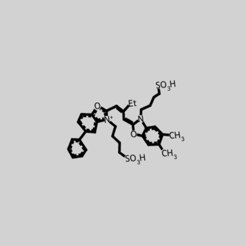 CCC(=Cc1oc2ccc(-c3ccccc3)cc2[n+]1CCCCS(=O)(=O)O)C=C1Oc2cc(C)c(C)cc2N1CCCCS(=O)(=O)O